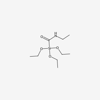 CCNC(=O)[Si](OCC)(OCC)OCC